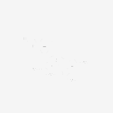 COc1ccc(C2(c3ccc(OC)cc3)C=Cc3c4c(c5cc(OC)c(OC)cc5c3O2)-c2ccc(-c3c(P)c(C)c(C)c(P)c3P)cc2C4(C)C)cc1